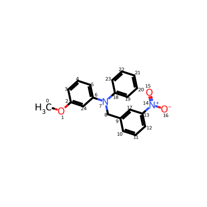 COc1cccc(N(Cc2cccc([N+](=O)[O-])c2)c2ccccc2)c1